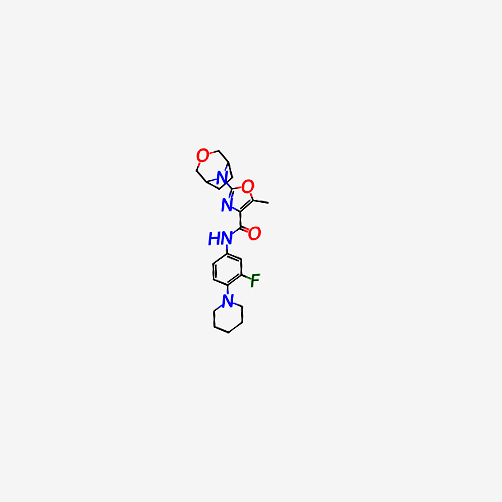 Cc1oc(N2C3CCC2COC3)nc1C(=O)Nc1ccc(N2CCCCC2)c(F)c1